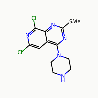 CSc1nc(N2CCNCC2)c2cc(Cl)nc(Cl)c2n1